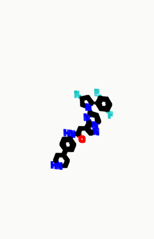 O=C(Cc1cnn2ccc(N3C[C@@H](F)C[C@@H]3c3cc(F)ccc3F)nc12)Nc1ccc(C2CCNCC2)cc1